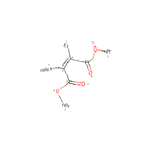 CCCCCC/C(C(=O)OCCC)=C(\CC)C(=O)OCCC